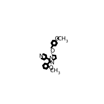 COc1ccc(COC[C@@H]2CCc3nc(-c4ccccc4OC)c(-c4ccncc4)n32)cc1